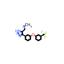 C/N=C/c1[nH]nnc1-c1cccc(Oc2cccc(C(F)(F)F)c2)c1